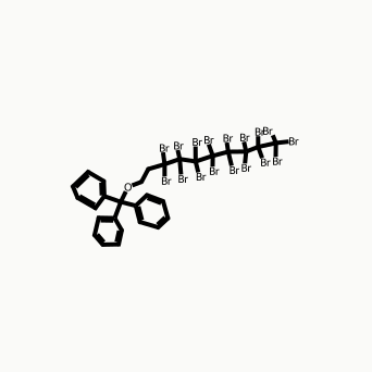 BrC(Br)(Br)C(Br)(Br)C(Br)(Br)C(Br)(Br)C(Br)(Br)C(Br)(Br)C(Br)(Br)C(Br)(Br)CCOC(c1ccccc1)(c1ccccc1)c1ccccc1